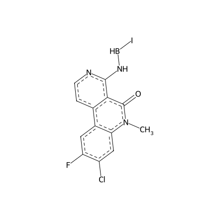 Cn1c(=O)c2c(NBI)nccc2c2cc(F)c(Cl)cc21